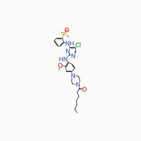 CCCCCCC(=O)N1CCN(c2ccc(Nc3ncc(Cl)c(Nc4ccccc4P(C)(C)=O)n3)c(OC)c2)CC1